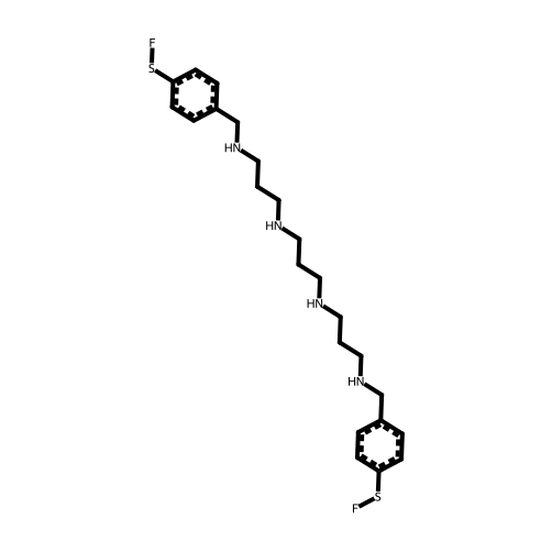 FSc1ccc(CNCCCNCCCNCCCNCc2ccc(SF)cc2)cc1